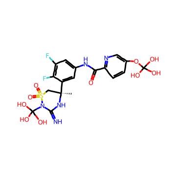 C[C@@]1(c2cc(NC(=O)c3ccc(OC(O)(O)O)cn3)cc(F)c2F)CS(=O)(=O)N(C(O)(O)O)C(=N)N1